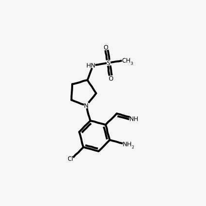 CS(=O)(=O)NC1CCN(c2cc(Cl)cc(N)c2C=N)C1